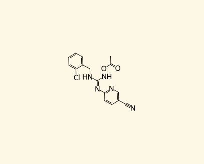 CC(=O)ONC(=Nc1ccc(C#N)cn1)NCc1ccccc1Cl